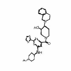 CC(=O)N1CCC(Nc2cc(C(=O)N3CCC(N4CCc5ccccc5C4)C(O)C3)nc(-c3nccs3)n2)CC1